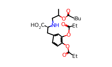 CCC(=O)Oc1ccc(C[C@H](NCC(C)OC(=O)C(C)CC)C(=O)O)cc1OC(=O)CC